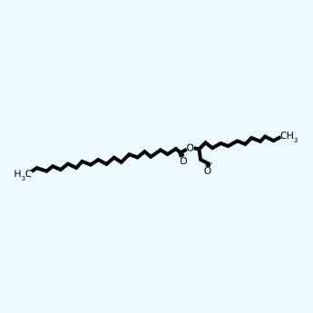 CCCCCCCCCCCCCCCCCCCCC(=O)OC(C[C]=O)CCCCCCCCCCC